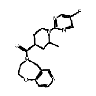 CC1CC(C(=O)N2CCOc3ccncc3C2)CCN1c1ncc(F)cn1